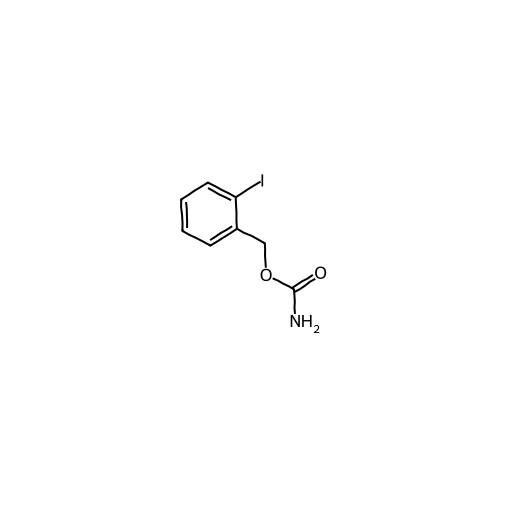 NC(=O)OCc1ccccc1I